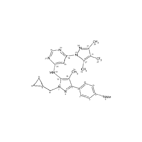 CNc1ccc(-c2nn(CC3CC3)c(Nc3cc(-n4nc(C)c(C(F)(F)F)c4C)ncn3)c2C)cc1